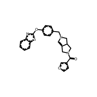 O=C(c1ccoc1)N1CC2=CN(Cc3ccc(Oc4nc5ccccc5s4)cc3)CC2C1